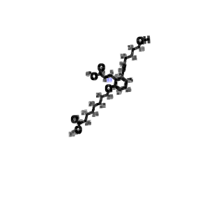 COC(=O)/C=C/c1c(C#CCCCCO)cccc1OCCCCCCCC(=O)OC